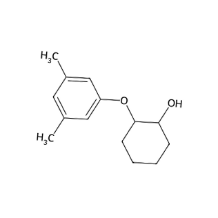 Cc1cc(C)cc(OC2CCCCC2O)c1